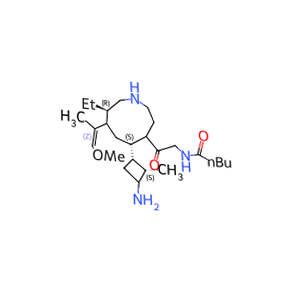 CCCCC(=O)NCC(=O)C1CCNC[C@H](CC)C(/C(C)=C\OC)C[C@H]1C1CC(N)[C@H]1C